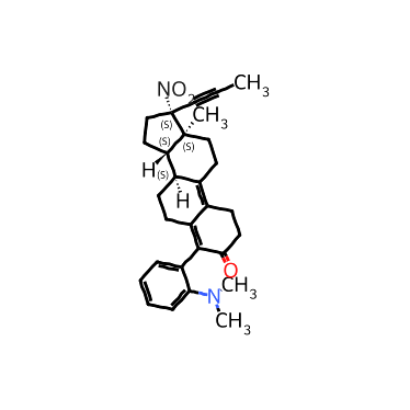 CC#C[C@]1([N+](=O)[O-])CC[C@H]2[C@@H]3CCC4=C(c5ccccc5N(C)C)C(=O)CCC4=C3CC[C@@]21C